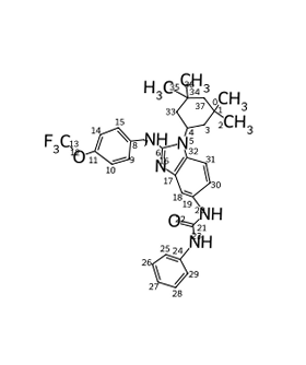 CC1(C)CC(n2c(Nc3ccc(OC(F)(F)F)cc3)nc3cc(NC(=O)Nc4ccccc4)ccc32)CC(C)(C)C1